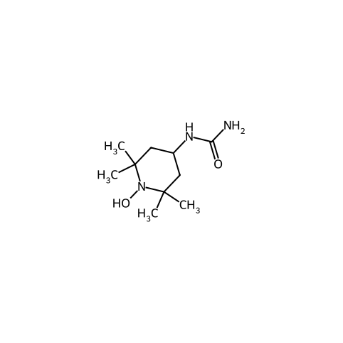 CC1(C)CC(NC(N)=O)CC(C)(C)N1O